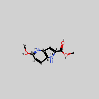 COC(=O)c1cc2nc(OC)ccc2[nH]1